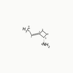 C/C=C1\CC[C@@H]1N